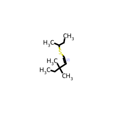 CCC(C)S/C=C\C(C)(C)CC